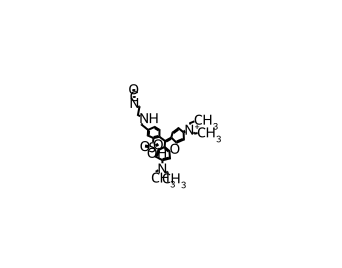 CCN(CC)c1ccc2c(-c3ccc(CNCCN=C=O)cc3S(=O)(=O)O)c3ccc(=[N+](CC)CC)cc-3oc2c1